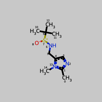 Cc1ncc(CN[S+]([O-])C(C)(C)C)n1C